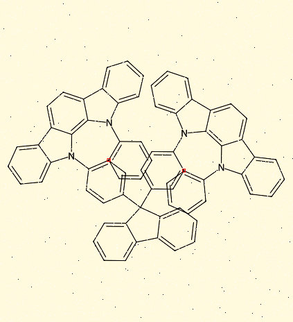 c1ccc(-n2c3ccccc3c3ccc4c5ccccc5n(-c5ccc(C6(c7ccc(-n8c9ccccc9c9ccc%10c%11ccccc%11n(-c%11ccccc%11)c%10c98)cc7)c7ccccc7-c7ccccc76)cc5)c4c32)cc1